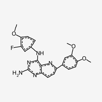 COc1ccc(Nc2nc(N)nc3ccc(-c4ccc(OC)c(OC)c4)nc23)cc1F